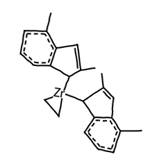 CC1=Cc2c(C)cccc2[CH]1[Zr]1([CH]2C(C)=Cc3c(C)cccc32)[CH2][CH2]1